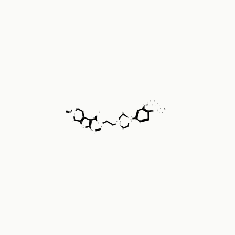 COc1ccc(N2CCN(CCn3cnc4sc5c(c4c3=O)CCN(C)C5)CC2)cc1OC